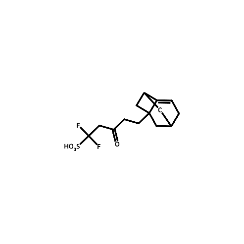 O=C(CCC12CC3CC=C1C(C3)C2)CC(F)(F)S(=O)(=O)O